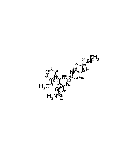 CC[C@H]1COCCN1c1cc(CS(N)(=O)=O)nc(-c2ccc3[nH]c(CNC)cc3n2)n1